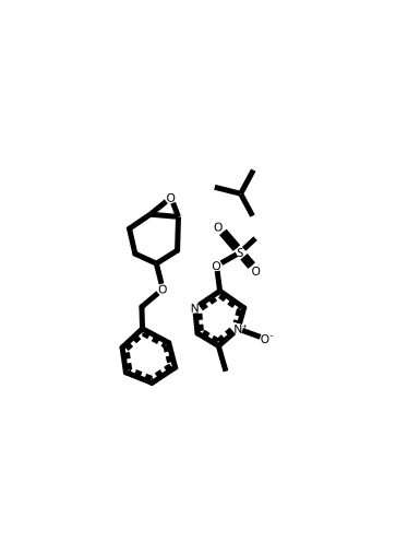 CC(C)C.Cc1cnc(OS(C)(=O)=O)c[n+]1[O-].c1ccc(COC2CCC3OC3C2)cc1